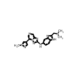 CN(C)Cc1nc2cc(Nc3nc4cncc(-c5cnn(C)c5)n4n3)ccc2[nH]1